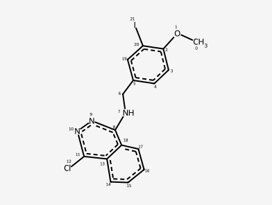 COc1ccc(CNc2nnc(Cl)c3ccccc23)cc1I